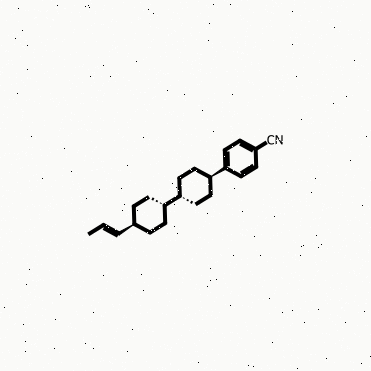 CC=C[C@H]1CC[C@H]([C@H]2CC[C@H](c3ccc(C#N)cc3)CC2)CC1